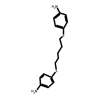 Nc1ccc(SCCCCCSc2ccc(N)cc2)cc1